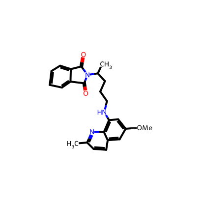 COc1cc(NCCCC(C)N2C(=O)c3ccccc3C2=O)c2nc(C)ccc2c1